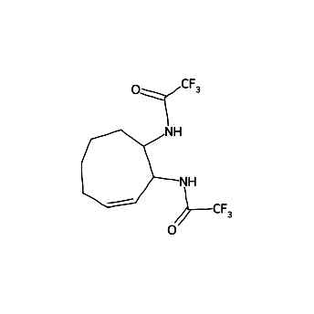 O=C(NC1C=CCCCCC1NC(=O)C(F)(F)F)C(F)(F)F